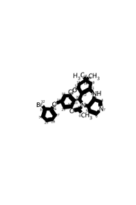 CC(=O)N1c2ccncc2NC2=C(C(=O)CC(C)(C)C2)[C@@H]1c1ccc(Oc2ccccc2Br)cc1Cl